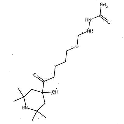 CC1(C)CC(O)(C(=O)CCCCOCNNC(N)=O)CC(C)(C)N1